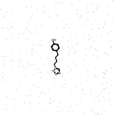 Oc1ccc(CCCCn2cnnn2)cc1